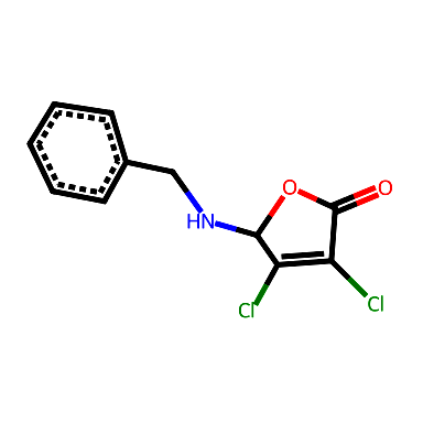 O=C1OC(NCc2ccccc2)C(Cl)=C1Cl